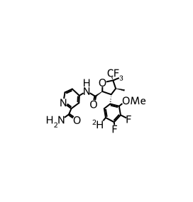 [2H]c1cc([C@@H]2[C@@H](C(=O)Nc3ccnc(C(N)=O)c3)O[C@](C)(C(F)(F)F)[C@H]2C)c(OC)c(F)c1F